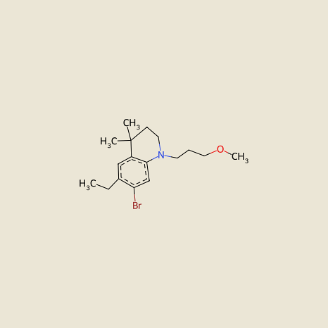 CCc1cc2c(cc1Br)N(CCCOC)CCC2(C)C